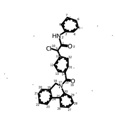 O=C(Nc1ccccc1)C(Cl)c1ccc(C(=O)N2Cc3ccccc3-c3ccccc32)cc1